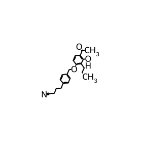 CCCc1c(OCc2ccc(CCCC#N)cc2)ccc(C(C)=O)c1O